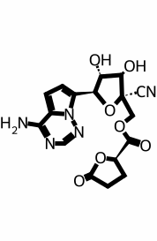 N#C[C@]1(COC(=O)[C@H]2CCC(=O)O2)O[C@@H](c2ccc3c(N)ncnn23)[C@H](O)[C@@H]1O